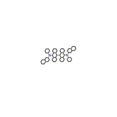 c1ccc(N(c2ccc3ccccc3c2)c2c3ccccc3c(-c3c4ccccc4c(N(c4ccccc4)c4ccc5ccccc5c4)c4ccccc34)c3ccccc23)cc1